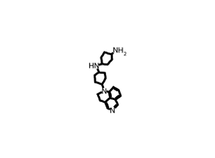 NC1CCC(NC2CCC(N3CCc4cncc5cccc3c45)CC2)CC1